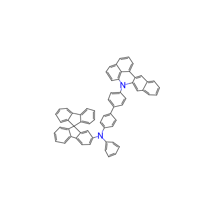 c1ccc(N(c2ccc(-c3ccc(N4c5cc6ccccc6cc5-c5cccc6cccc4c56)cc3)cc2)c2ccc3c(c2)C2(c4ccccc4-c4ccccc42)c2ccccc2-3)cc1